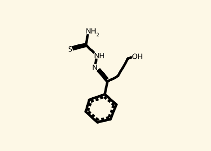 NC(=S)NN=C(CCO)c1ccccc1